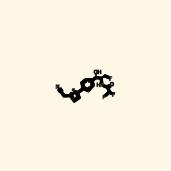 N#CCc1ccc(-c2ccc([C@H](O)[C@@H](CF)NC(=O)C(F)F)cc2)s1